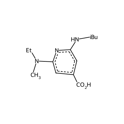 CCC(C)Nc1cc(C(=O)O)cc(N(C)CC)n1